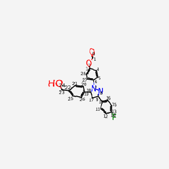 O=COc1ccc(N2N=C(c3ccc(F)cc3)CC2c2ccc(CO)cc2)cc1